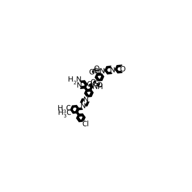 CC1(C)CCC(CN2CCN(c3ccc(C(=O)NS(=O)(=O)c4ccc(NC5CCN(C6CCOCC6)CC5)c([N+](=O)[O-])c4)c(-c4ccc(N)nc4)c3)CC2)=C(c2ccc(Cl)cc2)C1